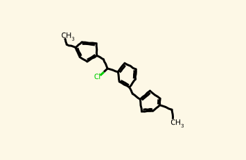 CCc1ccc(Cc2cccc(C(Cl)Cc3ccc(CC)cc3)c2)cc1